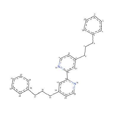 c1ccc(CCCc2ccnc(-c3cc(CCCc4ccccc4)ccn3)c2)cc1